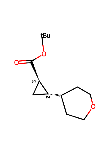 CC(C)(C)OC(=O)[C@@H]1C[C@H]1C1CCOCC1